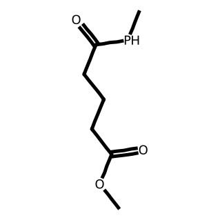 COC(=O)CCCC(=O)PC